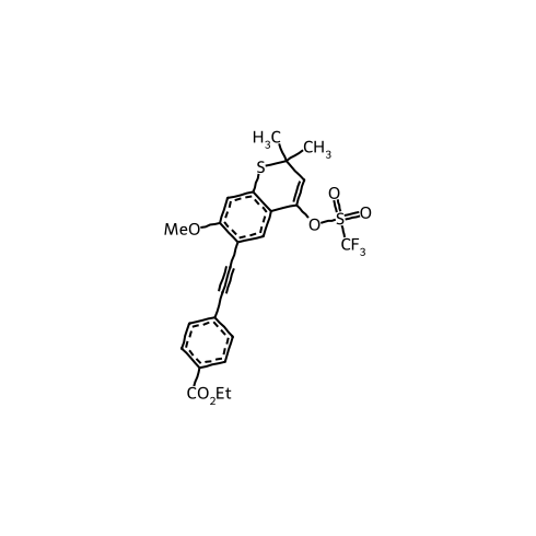 CCOC(=O)c1ccc(C#Cc2cc3c(cc2OC)SC(C)(C)C=C3OS(=O)(=O)C(F)(F)F)cc1